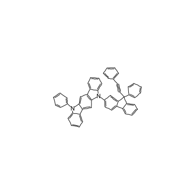 C(#CC1(c2ccccc2)c2ccccc2-c2ccc(-n3c4ccccc4c4cc5c(cc43)c3ccccc3n5-c3ccccc3)cc21)c1ccccc1